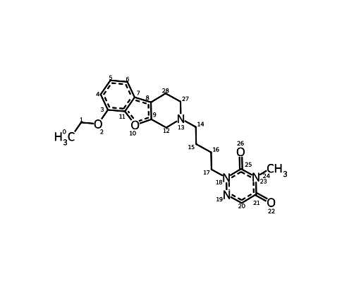 CCOc1cccc2c3c(oc12)CN(CCCCn1ncc(=O)n(C)c1=O)CC3